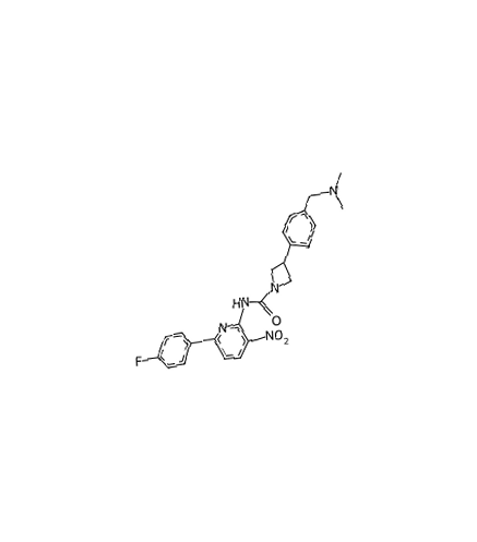 CN(C)Cc1ccc(C2CN(C(=O)Nc3nc(-c4ccc(F)cc4)ccc3[N+](=O)[O-])C2)cc1